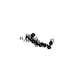 CN(C)CCC(COc1ccccc1)Nc1ccc(S(=O)(=O)NC(=O)c2ccc3c(c2)cc2n3CCN(Cc3ccccc3-c3ccc(Cl)cc3)C2)cc1[N+](=O)[O-]